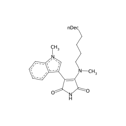 CCCCCCCCCCCCCCN(C)C1=C(c2cn(C)c3ccccc23)C(=O)NC1=O